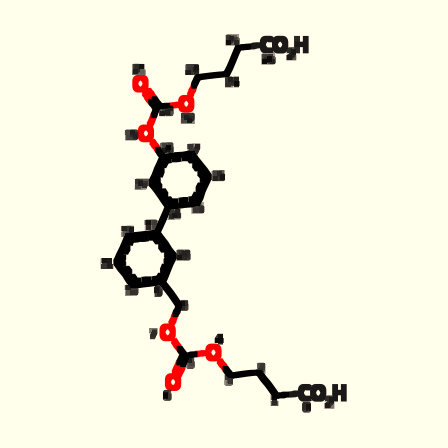 O=C(O)CCCOC(=O)OCc1cccc(-c2cccc(OC(=O)OCCCC(=O)O)c2)c1